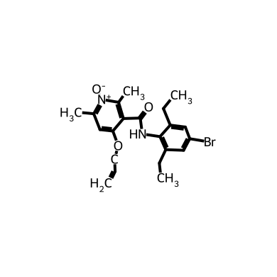 C=CCOc1cc(C)[n+]([O-])c(C)c1C(=O)Nc1c(CC)cc(Br)cc1CC